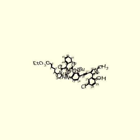 CCOC(=O)CCCCC1SC[C@@H](C(=O)Nc2ccc(C#Cc3cn(C)nc3-c3cc(Cl)ccc3O)cc2)N1C(=O)[C@H](NC(=O)OC(C)(C)C)C1=CC=CCC1